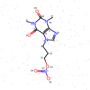 Cn1c(=O)c2c(ncn2CCCO[N+](=O)[O-])n(C)c1=O